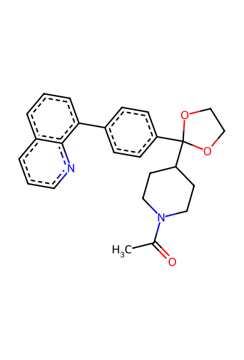 CC(=O)N1CCC(C2(c3ccc(-c4cccc5cccnc45)cc3)OCCO2)CC1